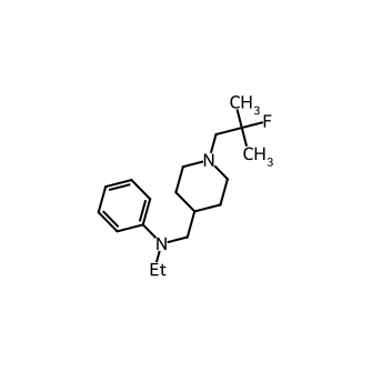 CCN(CC1CCN(CC(C)(C)F)CC1)c1ccccc1